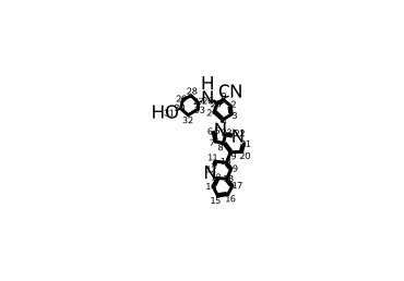 N#Cc1ccc(-n2ccc3c(-c4cnc5ccccc5c4)ccnc32)cc1N[C@H]1CC[C@H](O)CC1